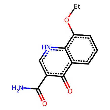 CCOc1cccc2c(=O)c(C(N)=O)c[nH]c12